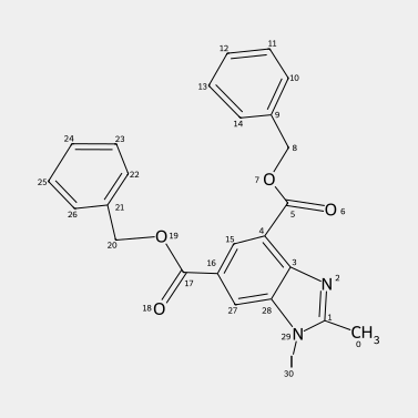 Cc1nc2c(C(=O)OCc3ccccc3)cc(C(=O)OCc3ccccc3)cc2n1I